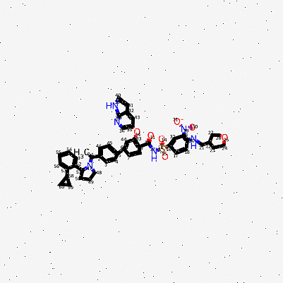 CC(c1ccc(-c2ccc(C(=O)NS(=O)(=O)c3ccc(NCC4CCOCC4)c([N+](=O)[O-])c3)c(Oc3cnc4[nH]ccc4c3)c2)cc1)N1CCCC1c1ccccc1C1CC1